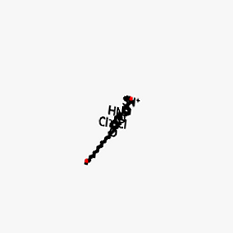 CCCCCCCCCCCCCCOc1ccc(CC(=O)Nc2cccc(-c3scc[n+]3C)c2)c(Cl)c1.[Cl-]